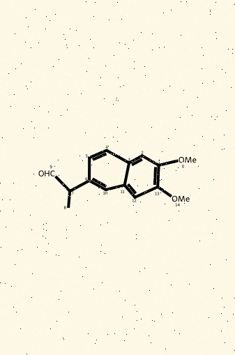 COc1cc2ccc(C(C)C=O)cc2cc1OC